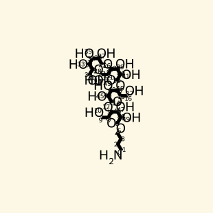 NCCCCO[C@@H]1OC(CO)[C@@H](O[C@H]2OC(CO)[C@H](O[C@H]3OC(CO)[C@@H](O[C@@H]4OC(CO)[C@@H](O)C(O)[C@@H]4O)[C@H](O)C3O)[C@H](O)C2O)C(O)[C@@H]1O